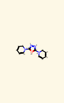 C1=CCN(c2nnc(N3C=CC=CC3)o2)C=C1